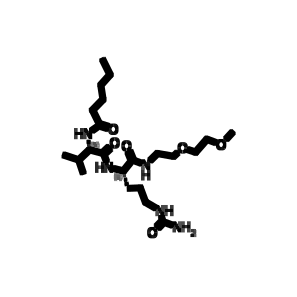 CCCCCC(=O)N[C@H](C(=O)N[C@@H](CCCNC(N)=O)C(=O)NCCOCCOC)C(C)C